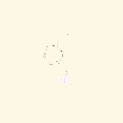 ON=Cc1cccc(OC(F)(F)F)c1